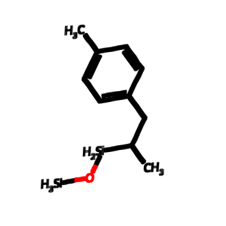 Cc1ccc(CC(C)[SiH2]O[SiH3])cc1